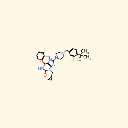 CC(C)(C)c1ccc(CN2CCN(c3nc4c(c(=O)[nH]c(=O)n4CC4CC4)n3Cc3ccccc3F)CC2)cc1